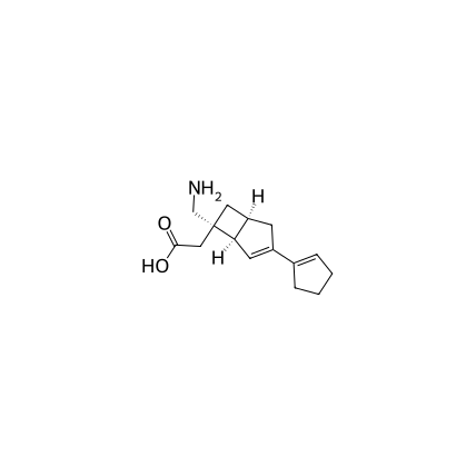 NC[C@]1(CC(=O)O)C[C@H]2CC(C3=CCCC3)=C[C@H]21